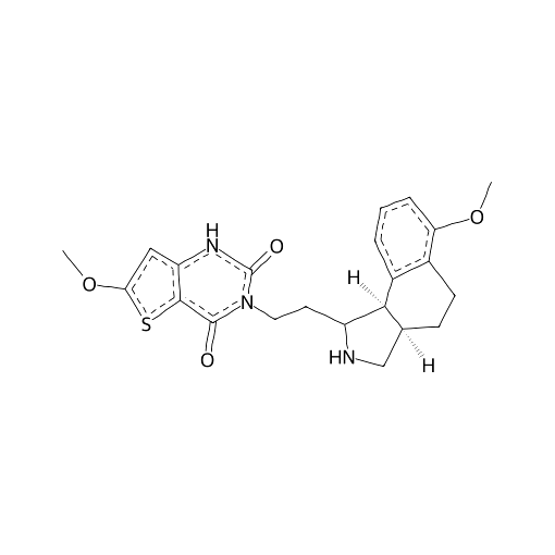 COc1cc2[nH]c(=O)n(CCC3NC[C@@H]4CCc5c(OC)cccc5[C@H]34)c(=O)c2s1